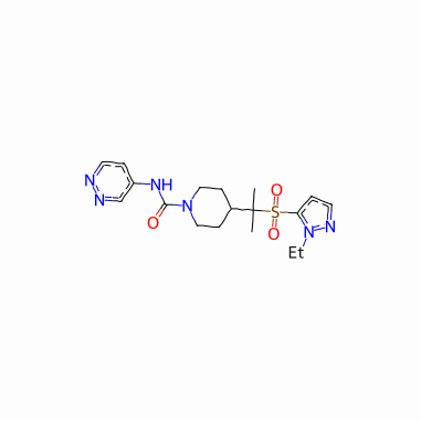 CCn1nccc1S(=O)(=O)C(C)(C)C1CCN(C(=O)Nc2ccnnc2)CC1